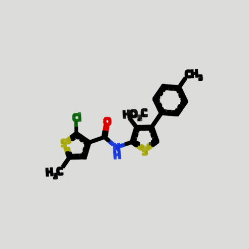 Cc1ccc(-c2csc(NC(=O)c3cc(C)sc3Cl)c2C(=O)O)cc1